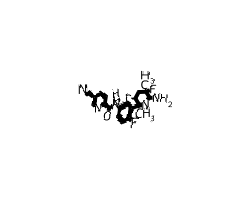 C[C@H]1C[C@@](C)(F)C(N)=N[C@]1(C)c1cc(NC(=O)c2ccc(C#N)cn2)ccc1F